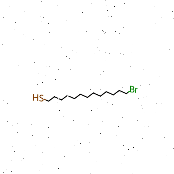 SCCCCCCCCCCCCCBr